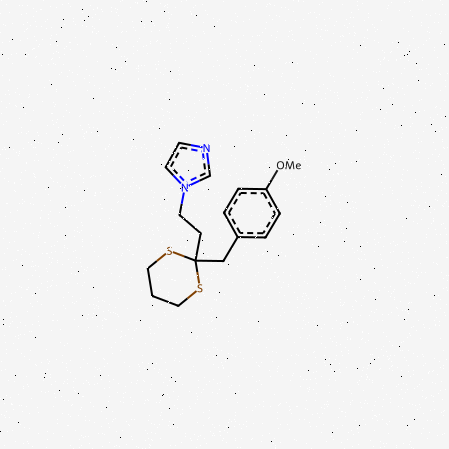 COc1ccc(CC2(CCn3ccnc3)SCCCS2)cc1